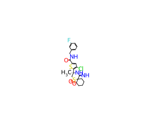 C[C@@]1(c2sc(C(=O)NCc3cccc(F)c3)cc2Cl)CS(=O)(=O)C2(CCCCC2)C(=N)N1